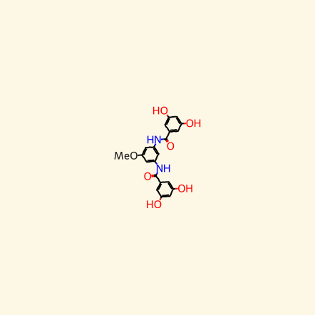 COc1cc(NC(=O)c2cc(O)cc(O)c2)cc(NC(=O)c2cc(O)cc(O)c2)c1